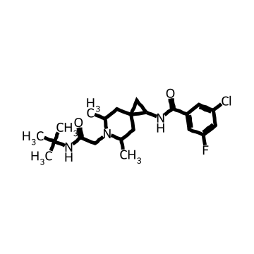 CC1CC2(CC(C)N1CC(=O)NC(C)(C)C)CC2NC(=O)c1cc(F)cc(Cl)c1